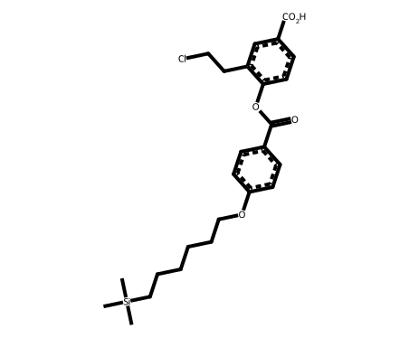 C[Si](C)(C)CCCCCCOc1ccc(C(=O)Oc2ccc(C(=O)O)cc2CCCl)cc1